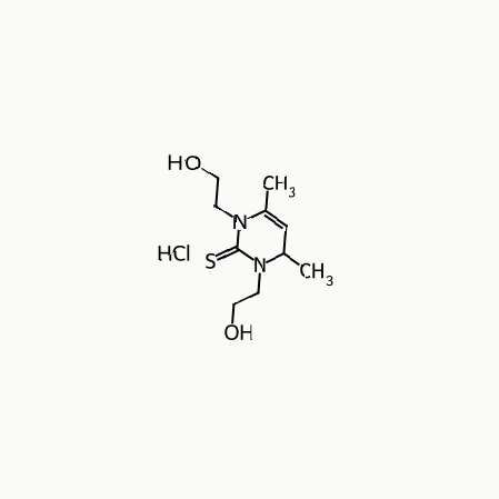 CC1=CC(C)N(CCO)C(=S)N1CCO.Cl